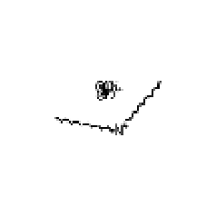 CCCCCCCCCCCC[N+](C)(C)CCCCCCCCCCCC.[O-][Br+3]([O-])([O-])[O-]